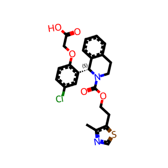 Cc1ncsc1CCOC(=O)N1CCc2ccccc2[C@H]1c1cc(Cl)ccc1OCC(=O)O